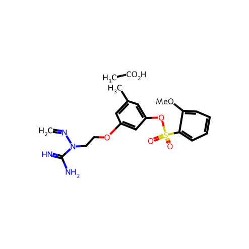 C=NN(CCOc1cc(C)cc(OS(=O)(=O)c2ccccc2OC)c1)C(=N)N.CC(=O)O